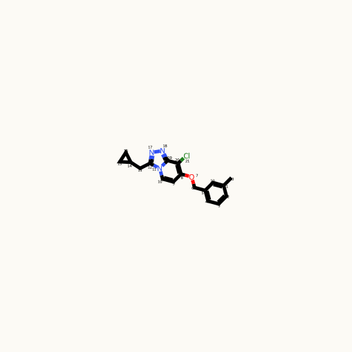 Cc1cccc(COc2ccn3c(CC4CC4)nnc3c2Cl)c1